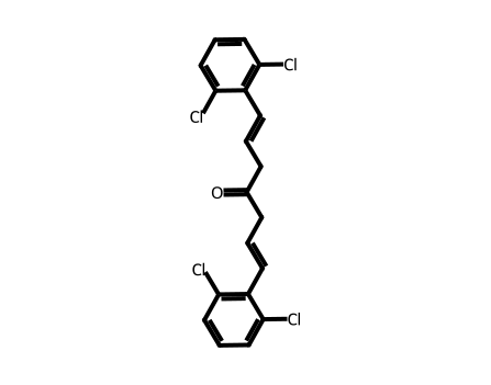 O=C(CC=Cc1c(Cl)cccc1Cl)CC=Cc1c(Cl)cccc1Cl